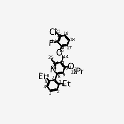 CCc1cccc(CC)c1-c1cc(OC(C)C)c(COc2cccc(Cl)c2F)c(C)n1